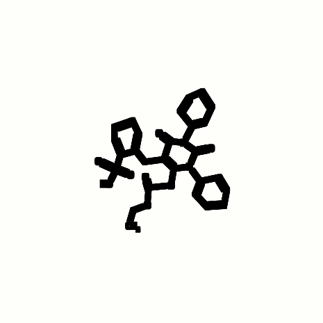 CCOC(=O)Oc1c(Cc2ccccc2S(=O)(=O)O)c(=O)n(-c2ccccc2)c(=O)n1-c1ccccc1